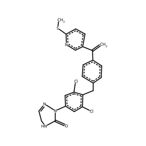 C=C(c1ccc(Cc2c(Cl)cc(N3N=CCNC3=O)cc2Cl)cc1)c1ccc(SC)nc1